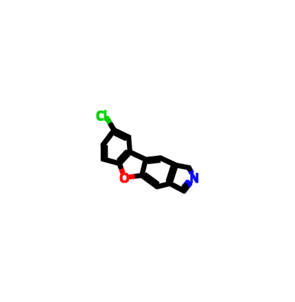 Clc1ccc2oc3cc4c(cc3c2c1)CN=C4